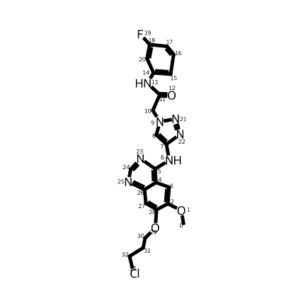 COc1cc2c(Nc3cn(CC(=O)Nc4cccc(F)c4)nn3)ncnc2cc1OCCCCl